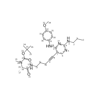 CCCNc1ncc(C#CCCCNC(=O)[C@H](C)N(C)C(=O)OC(C)(C)C)c(Nc2ccc(OC)cc2)n1